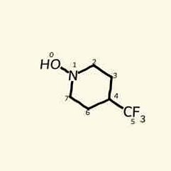 ON1CCC(C(F)(F)F)CC1